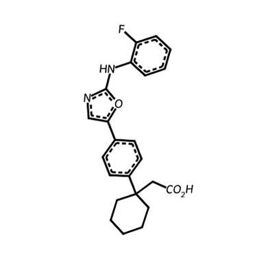 O=C(O)CC1(c2ccc(-c3cnc(Nc4ccccc4F)o3)cc2)CCCCC1